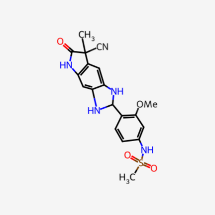 COc1cc(NS(C)(=O)=O)ccc1C1Nc2cc3c(cc2N1)C(C)(C#N)C(=O)N3